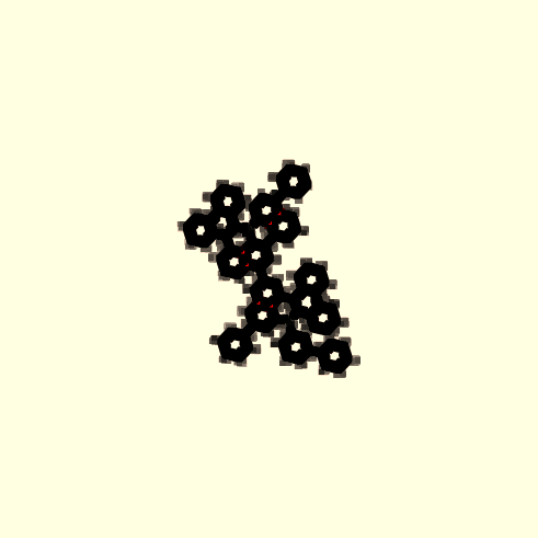 c1ccc(-c2ccc(N(c3ccc(-c4cccc(-c5c(N(c6cccc(-c7ccccc7)c6)c6cccc(-c7ccccc7)c6)c6ccccc6c6ccccc56)c4)cc3-c3ccccc3)c3c(-c4ccccc4)c4ccccc4c4ccccc34)cc2)cc1